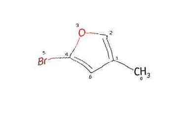 Cc1coc(Br)c1